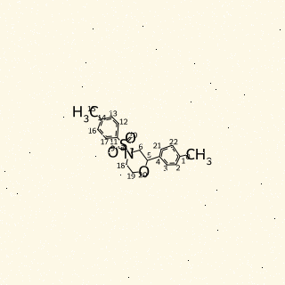 Cc1ccc(C2CN(S(=O)(=O)c3ccc(C)cc3)CCO2)cc1